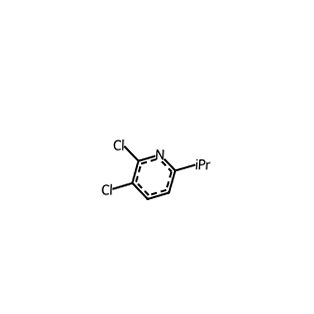 CC(C)c1ccc(Cl)c(Cl)n1